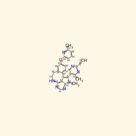 C#Cc1ncc(-c2c3c4c(ncnc4n2C)NCCc2cc(Oc4cccc(C)n4)ccc2-3)c(C)n1